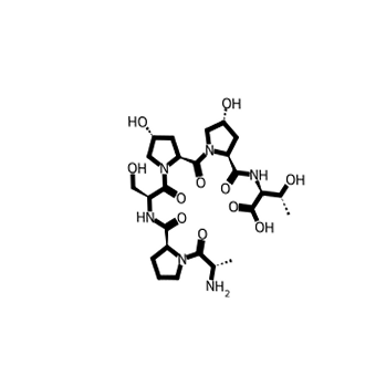 C[C@H](N)C(=O)N1CCC[C@H]1C(=O)N[C@@H](CO)C(=O)N1C[C@H](O)C[C@H]1C(=O)N1C[C@H](O)C[C@H]1C(=O)N[C@H](C(=O)O)[C@@H](C)O